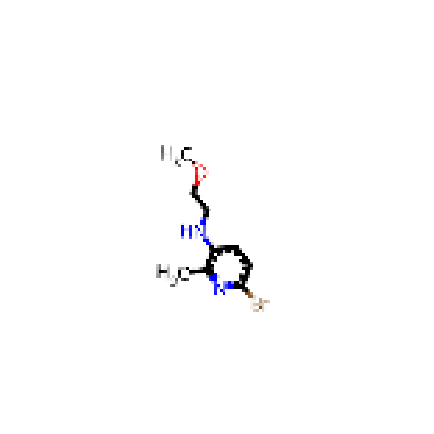 COCCNc1ccc(Br)nc1C